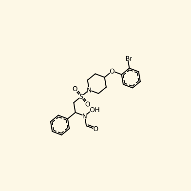 O=CN(O)C(CS(=O)(=O)N1CCC(Oc2ccccc2Br)CC1)c1ccccc1